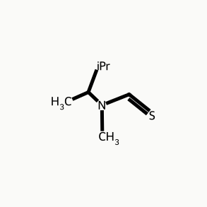 CC(C)C(C)N(C)C=S